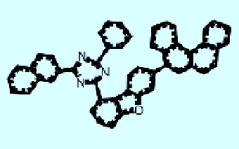 c1ccc(-c2nc(-c3ccc4ccccc4c3)nc(-c3cccc4oc5cc(-c6cc7ccc8ccccc8c7c7ccccc67)ccc5c34)n2)cc1